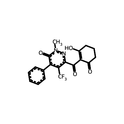 Cn1nc(C(=O)C2=C(O)CCCC2=O)c(C(F)(F)F)c(-c2ccccc2)c1=O